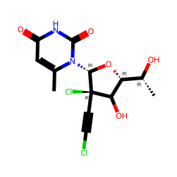 Cc1cc(=O)[nH]c(=O)n1[C@@H]1O[C@H]([C@@H](C)O)C(O)[C@]1(Cl)C#CCl